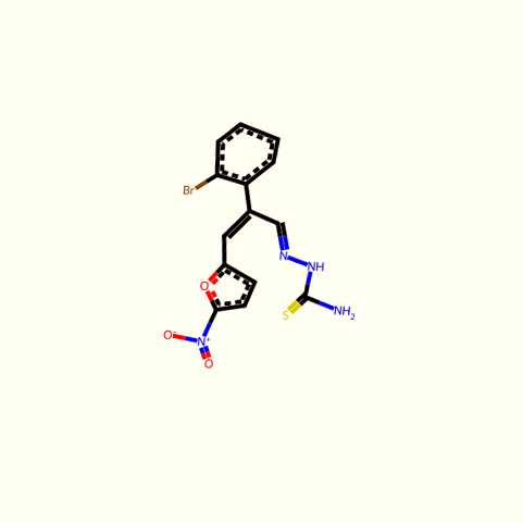 NC(=S)NN=CC(=Cc1ccc([N+](=O)[O-])o1)c1ccccc1Br